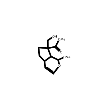 COC(=O)C1(CO)CCC2C=COC(OC)C21